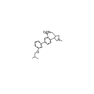 CC(C)COc1cccc(-c2ccc3c(c2)C(=O)NCC2CN(C)CC32)c1